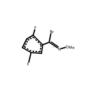 CO/N=C(\Br)c1cc(F)ccc1F